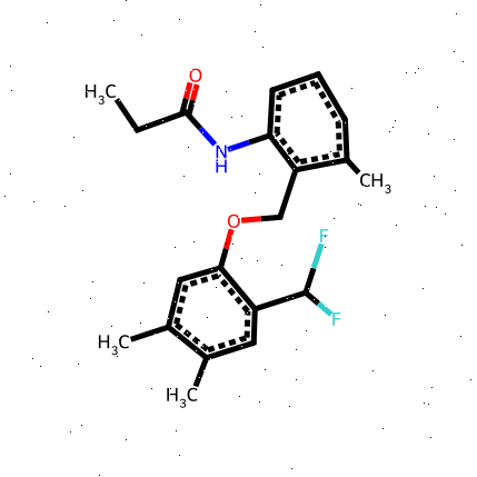 CCC(=O)Nc1cccc(C)c1COc1cc(C)c(C)cc1C(F)F